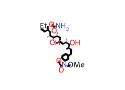 CC/C=C\C(C)[C@H](OC(N)=O)[C@@H](C)[C@H](O)[C@@H](C)C/C(C)=C\[C@H](C)[C@@H](O)C(C)/C=C\c1ccc2c(c1)N(COC)C(=O)CO2